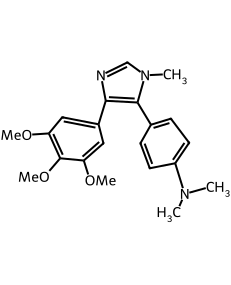 COc1cc(-c2ncn(C)c2-c2ccc(N(C)C)cc2)cc(OC)c1OC